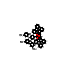 CC(C)(C)c1ccc2c(c1)B1c3c(cc(-c4c(-c5cccc6c5C5(c7ccccc7-c7ccccc75)c5ccccc5-6)cccc4-c4cccc5c4C4(c6ccccc6-c6ccccc64)c4ccccc4-5)cc3-n3c4ccc(C(C)(C)C)cc4c4cc(C(C)(C)C)cc1c43)O2